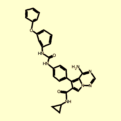 Nc1ncnn2cc(C(=O)NC3CC3)c(-c3ccc(NC(=O)Nc4cccc(Oc5ccccc5)c4)cc3)c12